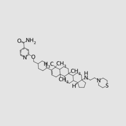 CC1(C)C(C2=CCC(COc3cc(C(N)=O)ccn3)CC2)=CCC2(C)C1CCC1(C)C3CCC4(NCCN5CCSCC5)CCC[C@@H]4C3CCC12